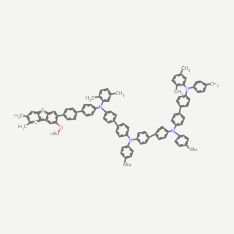 CCCCOc1cc2c(cc1-c1ccc(-c3ccc(N(c4ccc(-c5ccc(N(c6ccc(CCCC)cc6)c6ccc(-c7ccc(N(c8ccc(CCCC)cc8)c8ccc(-c9ccc(N(c%10ccc(C)cc%10)c%10cc(C)ccc%10C)cc9)cc8)cc7)cc6)cc5)cc4)c4cc(C)ccc4C)cc3)cc1)sc1cc(C)c(C)cc12